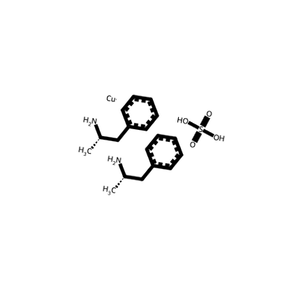 C[C@H](N)Cc1ccccc1.C[C@H](N)Cc1ccccc1.O=S(=O)(O)O.[Cu]